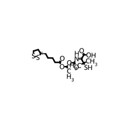 CC(OC(=O)CCCC[C@@H]1CCSS1)OC(=O)N[C@@H](C(=O)O)C(C)(C)S